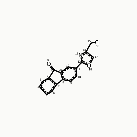 O=C1c2ccccc2-c2ccc(-c3nc(CCl)co3)cc21